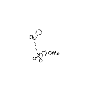 CCN(CCCCCN1C(=O)C(=O)c2cc(OC)ccc21)Cc1ccccc1